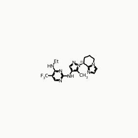 CCNc1nc(Nc2cnn([C@H]3CCCn4ccnc43)c2C)ncc1C(F)(F)F